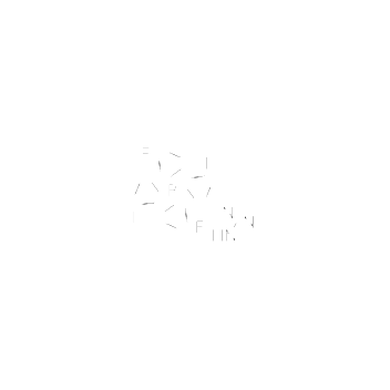 CN(C)C(=N)N(C)C.Fc1cccc([B-](c2cccc(F)c2)(c2cccc(F)c2)c2cccc(F)c2)c1